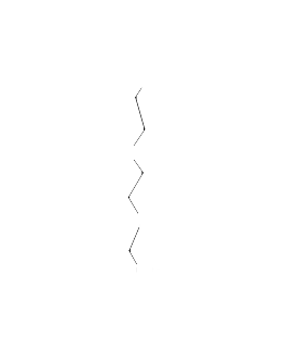 CCCCCCOCCOCCCl